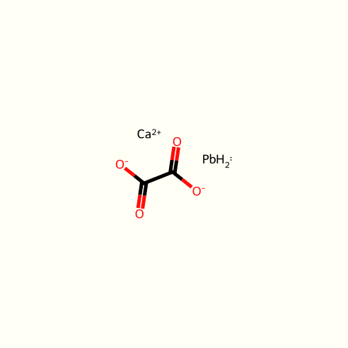 O=C([O-])C(=O)[O-].[Ca+2].[PbH2]